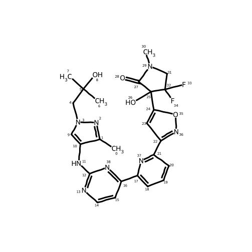 Cc1nn(CC(C)(C)O)cc1Nc1nccc(-c2cccc(-c3cc(C4(O)C(=O)N(C)CC4(F)F)on3)n2)n1